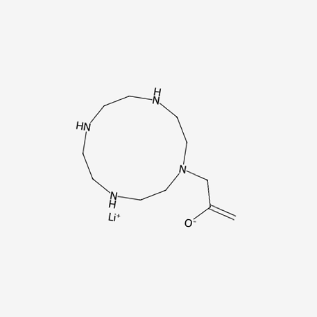 C=C([O-])CN1CCNCCNCCNCC1.[Li+]